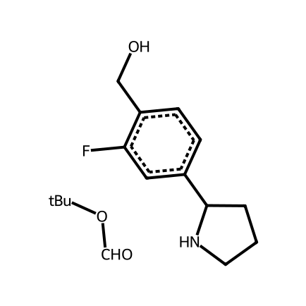 CC(C)(C)OC=O.OCc1ccc(C2CCCN2)cc1F